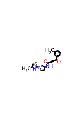 Cc1cccc(C(=O)C#CC(=O)NC2CCN(c3nc(C)cs3)C2)c1